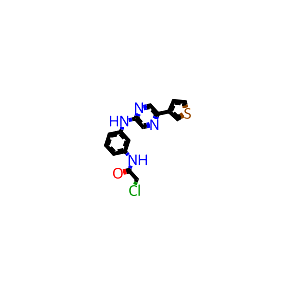 O=C(CCl)Nc1cccc(Nc2cnc(-c3ccsc3)cn2)c1